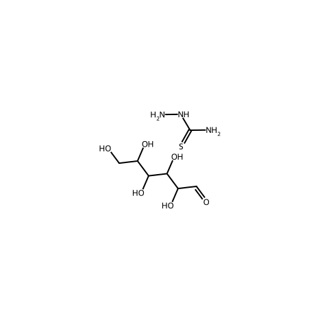 NNC(N)=S.O=CC(O)C(O)C(O)C(O)CO